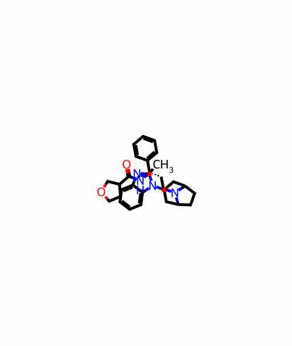 Cc1nc2ccccc2n1C1CC2CCC(C1)N2CC[C@H](NC(=O)C1CCOC1)c1ccccc1